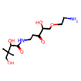 CC(C)(CO)C(O)C(=O)NCCC(=O)C(O)COCCN